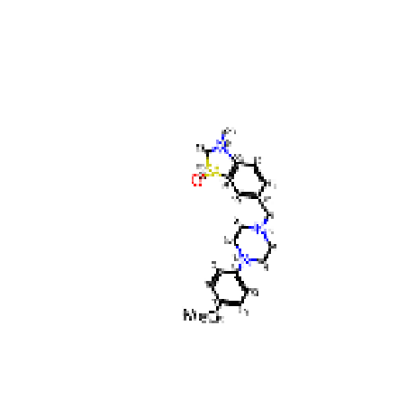 COc1ccc(N2CCN(Cc3ccc4c(c3)[S+]([O-])CN4C)CC2)cc1